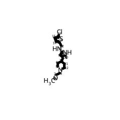 COCCN1CCC(c2cc(NCc3ccc(Cl)s3)[nH]n2)CC1